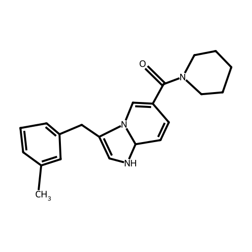 Cc1cccc(CC2=CNC3C=CC(C(=O)N4CCCCC4)=CN23)c1